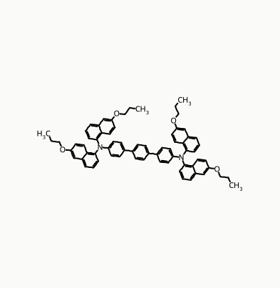 CCCOc1ccc2c(N(c3ccc(-c4ccc(-c5ccc(N(c6cccc7cc(OCCC)ccc67)c6cccc7cc(OCCC)ccc67)cc5)cc4)cc3)c3cccc4cc(OCCC)ccc34)cccc2c1